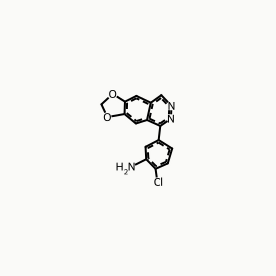 Nc1cc(-c2nncc3cc4c(cc23)OCO4)ccc1Cl